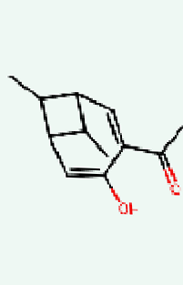 CC(=O)C1=CC2C(C)C(C=C1O)C2C